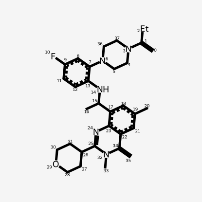 C=C(CC)N1CCN(c2cc(F)ccc2NC(C)c2cc(C)cc3c2N=C(C2CCOCC2)N(C)C3=C)CC1